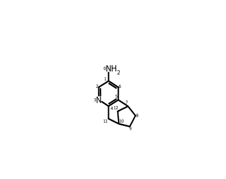 Nc1cnc2c(c1)C1CCC(C2)C1